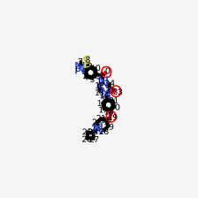 O=C(c1ccc2ncsc2c1)N1CCN(c2ccc(OC3CCN(C4CCC4)CC3)cc2)C(=O)C1